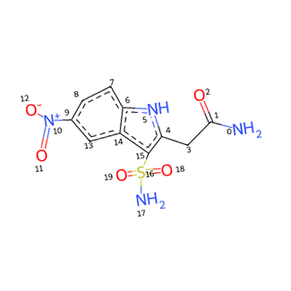 NC(=O)Cc1[nH]c2ccc([N+](=O)[O-])cc2c1S(N)(=O)=O